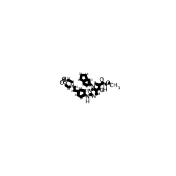 CONC(=O)c1cn(-c2ccc3c(c2)CCC3)c2nc(Nc3ccc(CCN4CCS(=O)(=O)CC4)cc3)ncc2c1=O